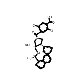 C[C@@H](NC[C@H]1CN(C(=O)c2cc(Cl)c(C(=O)O)cc2Cl)C[C@@H]1c1ccccc1)c1cccc2ccccc12.Cl